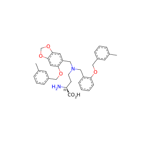 Cc1cccc(COc2ccccc2CN(CC[C@H](N)C(=O)O)Cc2cc3c(cc2OCc2cccc(C)c2)OCO3)c1